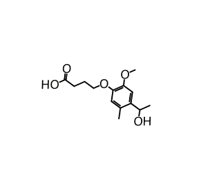 COc1cc(C(C)O)c(C)cc1OCCCC(=O)O